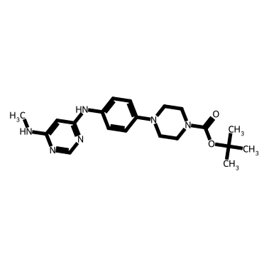 CNc1cc(Nc2ccc(N3CCN(C(=O)OC(C)(C)C)CC3)cc2)ncn1